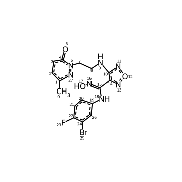 Cc1ccc(=O)n(CCNc2nonc2C(=NO)Nc2ccc(F)c(Br)c2)n1